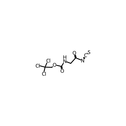 O=C(CNC(=O)OCC(Cl)(Cl)Cl)N=C=S